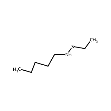 C[C]SNCCCCC